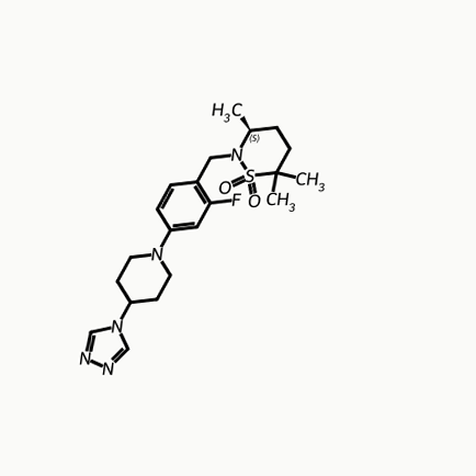 C[C@H]1CCC(C)(C)S(=O)(=O)N1Cc1ccc(N2CCC(n3cnnc3)CC2)cc1F